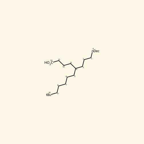 CCCCCCCCCCCCCC(CCCCCC(C)(C)C)CCCC(=O)O